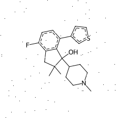 CN1CCC(C2(O)c3c(-c4ccsc4)ccc(F)c3CC2(C)C)CC1